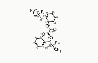 O=C(Oc1ccccc1CC(F)(F)C(F)(F)F)C(=O)Oc1ccccc1CC(F)(F)C(F)(F)F